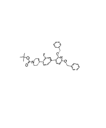 CC(C)(C)OC(=O)N1CC=C(c2ccc(-c3ccc(OCc4ccccc4)nc3OCc3ccccc3)cc2F)CC1